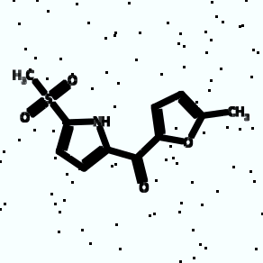 Cc1ccc(C(=O)c2ccc(S(C)(=O)=O)[nH]2)o1